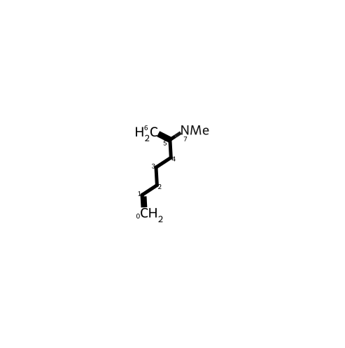 C=CCCCC(=C)NC